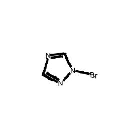 Brn1cncn1